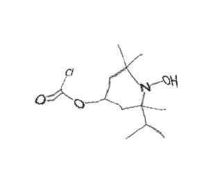 CC(C)C1(C)CC(OC(=O)Cl)CC(C)(C)N1O